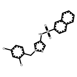 O=S(=O)(Nc1cnn(Cc2ccc(Cl)cc2Cl)c1)c1ccc2ccccc2c1